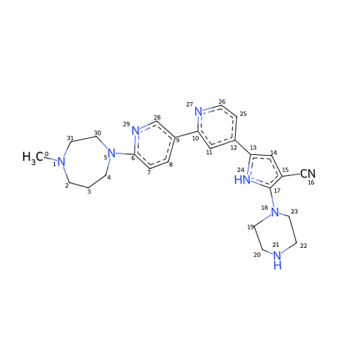 CN1CCCN(c2ccc(-c3cc(-c4cc(C#N)c(N5CCNCC5)[nH]4)ccn3)cn2)CC1